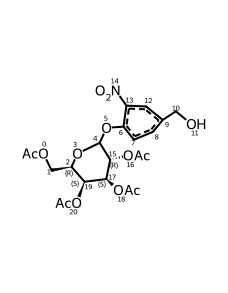 CC(=O)OC[C@H]1OC(Oc2ccc(CO)cc2[N+](=O)[O-])[C@H](OC(C)=O)[C@@H](OC(C)=O)[C@H]1OC(C)=O